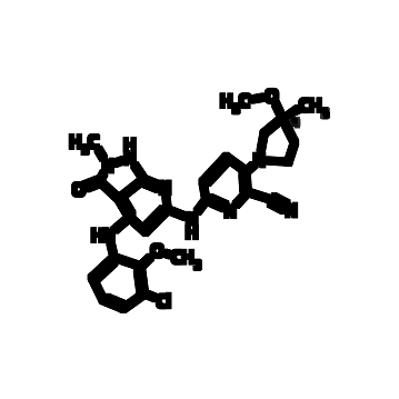 COc1c(Cl)cccc1Nc1cc(Nc2ccc(N3CC[C@@](C)(OC)C3)c(C#N)n2)nc2[nH]n(C)c(=O)c12